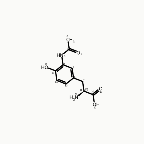 CC(=O)Nc1cc(C[C@H](N)C(=O)O)ccc1O